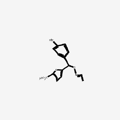 CC=NOC(c1ccc(CCC)cc1)c1ccc(C(=O)O)s1